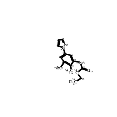 CCCCc1cc(-n2cccn2)cc(NC(=O)OCC(Cl)(Cl)Cl)c1C